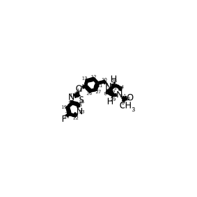 CC(=O)N1C[C@@H]2C[C@H]1CN2Cc1ccc(Oc2nc3cc(F)cnc3s2)cc1